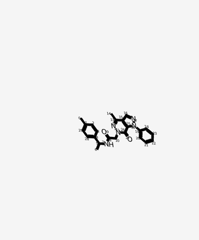 Cc1ccc(C(C)NC(=O)Cn2nc(C)c3cnn(-c4ccccc4)c3c2=O)cc1